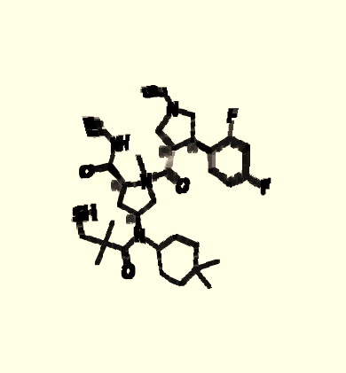 CCNC(=O)[C@@H]1C[C@H](N(C(=O)C(C)(C)CS)C2CCC(C)(C)CC2)C[N+]1(C)C(=O)[C@@H]1CN(C(C)(C)C)C[C@H]1c1ccc(F)cc1F